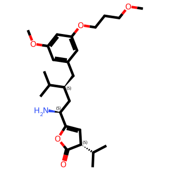 COCCCOc1cc(C[C@@H](C[C@H](N)C2=C[C@H](C(C)C)C(=O)O2)C(C)C)cc(OC)c1